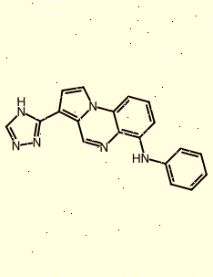 c1ccc(Nc2cccc3c2ncc2c(-c4nnc[nH]4)ccn23)cc1